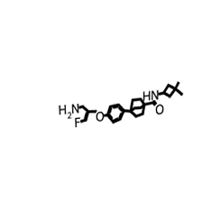 CC1(C)CC(NC(=O)C23CCC(c4ccc(OCC(=CF)CN)cc4)(CC2)CC3)C1